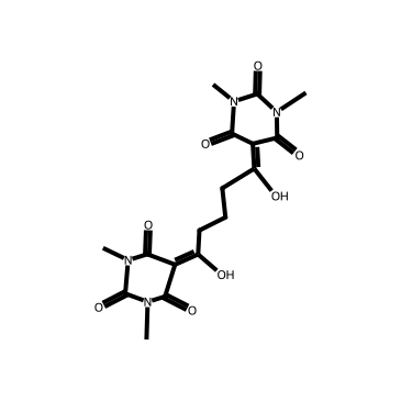 CN1C(=O)C(=C(O)CCCC(O)=C2C(=O)N(C)C(=O)N(C)C2=O)C(=O)N(C)C1=O